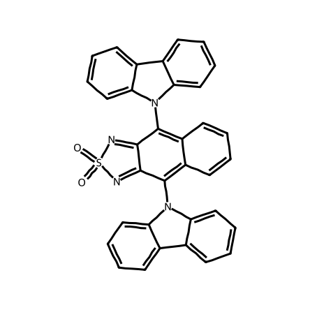 O=S1(=O)N=c2c(-n3c4ccccc4c4ccccc43)c3ccccc3c(-n3c4ccccc4c4ccccc43)c2=N1